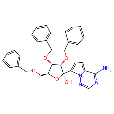 Nc1ncnn2c([C@@]3(O)O[C@@H](COCc4ccccc4)[C@@H](OCc4ccccc4)[C@H]3OCc3ccccc3)ccc12